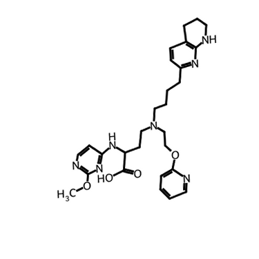 COc1nccc(NC(CCN(CCCCc2ccc3c(n2)NCCC3)CCOc2ccccn2)C(=O)O)n1